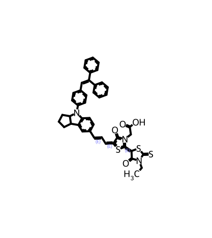 CCN1C(=O)/C(=c2\s/c(=C/C=C/c3ccc4c(c3)C3CCCC3N4c3ccc(C=C(c4ccccc4)c4ccccc4)cc3)c(=O)n2CC(=O)O)SC1=S